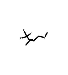 CSCC=C(C)C(F)(F)F